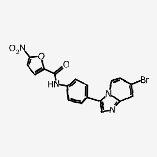 O=C(Nc1ccc(-c2cnc3cc(Br)ccn23)cc1)c1ccc([N+](=O)[O-])o1